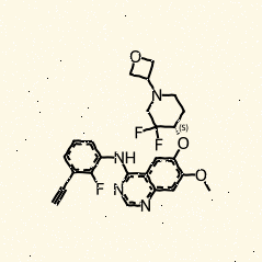 C#Cc1cccc(Nc2ncnc3cc(OC)c(O[C@H]4CCN(C5COC5)CC4(F)F)cc23)c1F